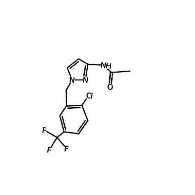 CC(=O)Nc1ccn(Cc2cc(C(F)(F)F)ccc2Cl)n1